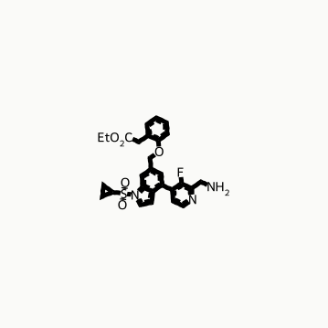 CCOC(=O)Cc1ccccc1OCc1cc(-c2ccnc(CN)c2F)c2ccn(S(=O)(=O)C3CC3)c2c1